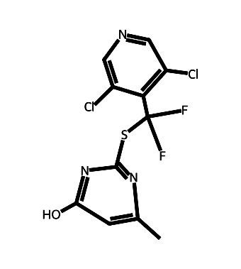 Cc1cc(O)nc(SC(F)(F)c2c(Cl)cncc2Cl)n1